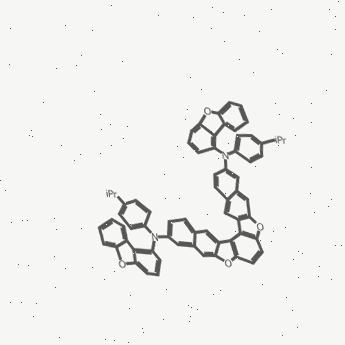 CC(C)c1ccc(N(c2ccc3cc4c(cc3c2)oc2ccc3oc5cc6cc(N(c7ccc(C(C)C)cc7)c7cccc8oc9ccccc9c78)ccc6cc5c3c24)c2cccc3oc4ccccc4c23)cc1